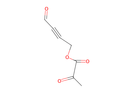 CC(=O)C(=O)OCC#CC=O